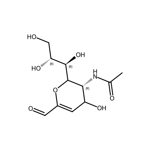 CC(=O)N[C@@H]1C(O)C=C(C=O)OC1[C@H](O)[C@H](O)CO